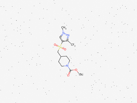 Cn1cc(S(=O)(=O)CC2CCN(C(=O)OC(C)(C)C)CC2)c(C(F)(F)F)n1